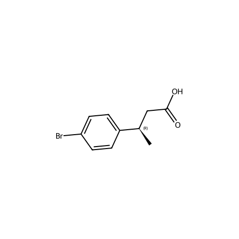 C[C@H](CC(=O)O)c1ccc(Br)cc1